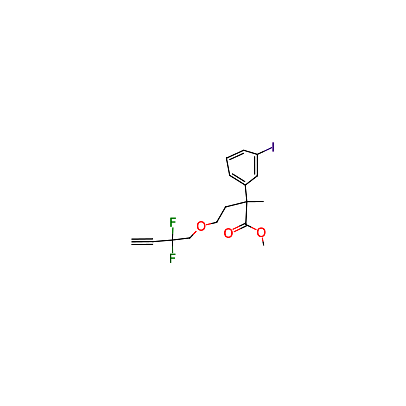 C#CC(F)(F)COCCC(C)(C(=O)OC)c1cccc(I)c1